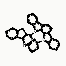 c1ccc(-n2c3ccccc3c3ccc4c5ccccc5n(-c5ncnc6c5Cc5ccccc5-6)c4c32)cc1